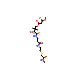 CNC(=O)CSCCNC(=O)CCNC(=O)[C@@H](O)C(C)(C)COC(=O)CC(=O)OC